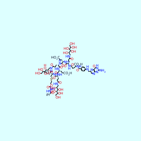 CC(C)C(=O)NNC(=O)OCCSSC[C@H](NC(=O)[C@H](CCC(=O)NC[C@H](O)[C@@H](O)[C@H](O)[C@H](O)CO)NC(=O)[C@H](CCC(=O)O)NC(=O)[C@H](CCC(=O)NC[C@H](O)[C@@H](O)[C@H](O)[C@H](O)CO)NC(=O)[C@H](CCC(=O)O)NC(=O)[C@H](CCC(=O)NC[C@H](O)[C@@H](O)[C@H](O)[C@H](O)CO)NC(=O)CC[C@H](NC(=O)c1ccc(NCc2cnc3nc(N)[nH]c(=O)c3n2)cc1)C(=O)O)C(=O)O